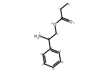 CCC(=O)OCC(N)c1ccccc1